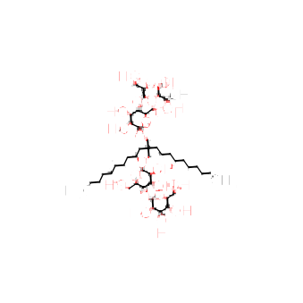 CCCCCCCCCCC(CCCCCCCCCC)(CO[C@@H]1OC(CO)[C@@H](O[C@@H](OC(CO)[C@H](C)O)[C@@H](O)CO)C(O)C1O)CO[C@@H]1OC(CO)[C@@H](O[C@@H]2OC(CO)[C@@H](O)[C@H](O)C2O)[C@H](O)C1O